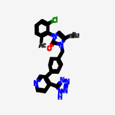 CCCCc1cn(-c2c(Cl)cccc2C(C)=O)c(=O)n1Cc1ccc(-c2cnccc2-c2nnn[nH]2)cc1